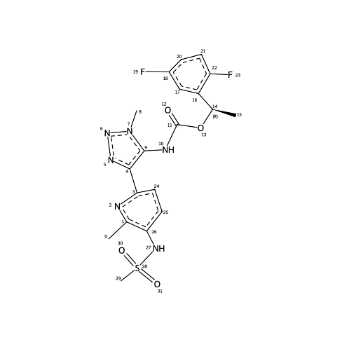 Cc1nc(-c2nnn(C)c2NC(=O)O[C@H](C)c2cc(F)ccc2F)ccc1NS(C)(=O)=O